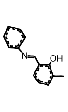 Cc1cccc(/C=N/c2ccccc2)c1O